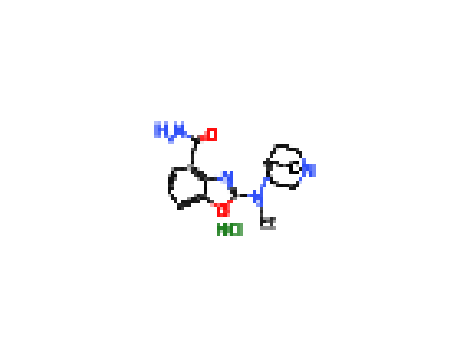 CCN(c1nc2c(C(N)=O)cccc2o1)C1CN2CCC1CC2.Cl